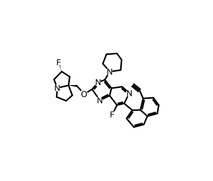 C#Cc1cccc2cccc(-c3ncc4c(N5CCCCC5)nc(OC[C@@]56CCCN5C[C@H](F)C6)nc4c3F)c12